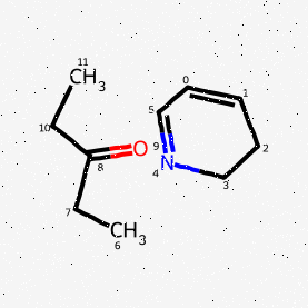 C1=CCCN=C1.CCC(=O)CC